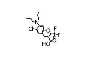 CCCN(CCC)c1cc2c(cc1Cl)C=C(C(=O)O)C(C(F)(F)F)O2